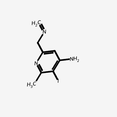 C=NCc1cc(N)c(I)c(C)n1